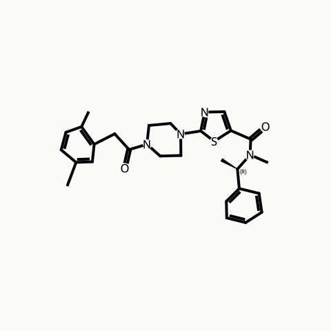 Cc1ccc(C)c(CC(=O)N2CCN(c3ncc(C(=O)N(C)[C@H](C)c4ccccc4)s3)CC2)c1